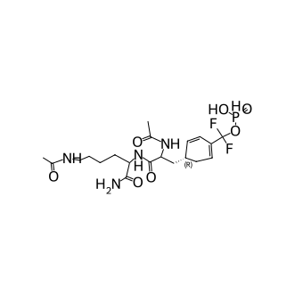 CC(=O)NCCCCC(NC(=O)C(C[C@@H]1C=CC(C(F)(F)O[PH](=O)O)=CC1)NC(C)=O)C(N)=O